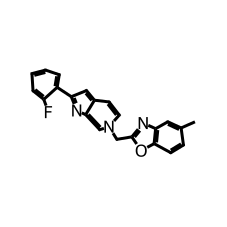 Cc1ccc2oc(Cn3ccc4cc(-c5ccccc5F)nc-4c3)nc2c1